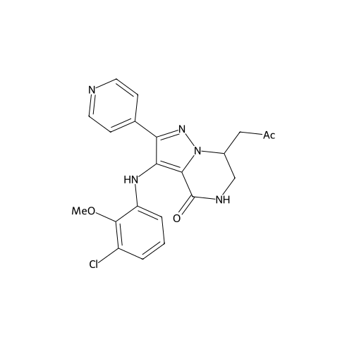 COc1c(Cl)cccc1Nc1c(-c2ccncc2)nn2c1C(=O)NCC2CC(C)=O